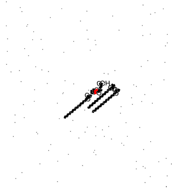 C=C(C)C(=O)OCCCCCCCCCCCCCCCCCC.C=C(C=CC(=O)O)C(=O)OC1CC2CCC1(C)C2(C)C.C=CC(=O)OCCCCCCCCCCCCCCCCCC.C=CC(=O)OCCCCCCCCCCCCCCCCCC